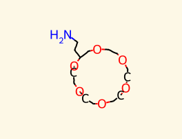 NCCC1COCCOCCOCCOCCOCCO1